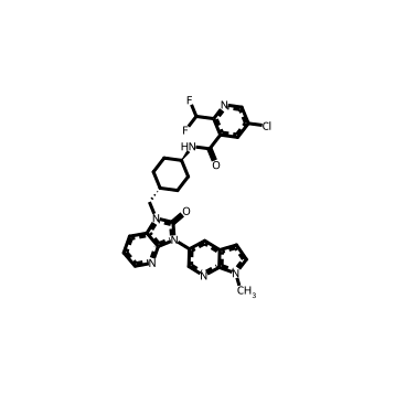 Cn1ccc2cc(-n3c(=O)n(C[C@H]4CC[C@H](NC(=O)c5cc(Cl)cnc5C(F)F)CC4)c4cccnc43)cnc21